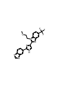 COCCn1c(-c2c[nH]c(-c3ccc4scnc4c3)n2)nc2cc(C(F)(F)F)ccc21